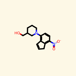 O=[N+]([O-])c1ccc(N2CCCC(CO)C2)c2c1CC=C2